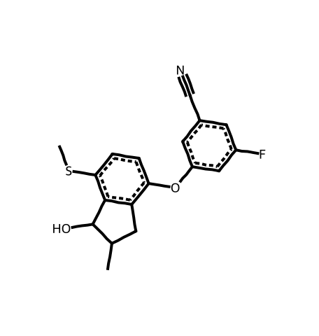 CSc1ccc(Oc2cc(F)cc(C#N)c2)c2c1C(O)C(C)C2